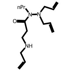 C=CCNCCC(=O)N(CCC)N(CC=C)CC=C